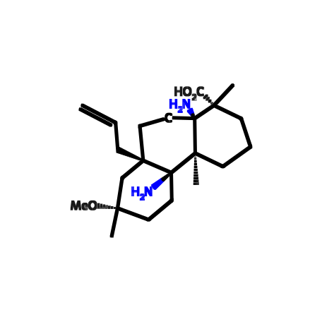 C=CC[C@@]12CC[C@@]3(N)[C@@](C)(CCC[C@@]3(C)C(=O)O)[C@]1(N)CC[C@](C)(OC)C2